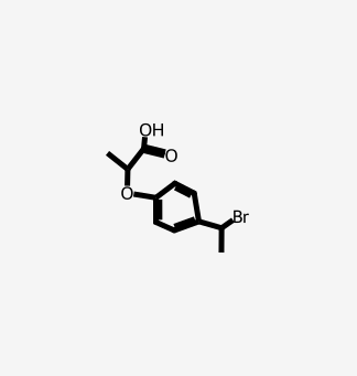 CC(Oc1ccc(C(C)Br)cc1)C(=O)O